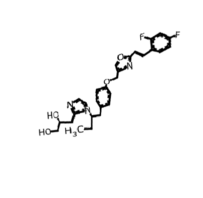 CCC(Cc1ccc(OCc2coc(C=Cc3ccc(F)cc3F)n2)cc1)n1ccnc1C[C@H](O)CO